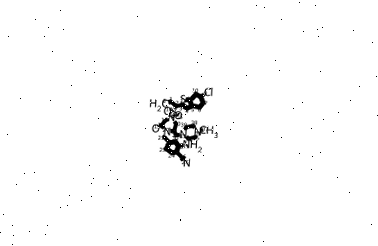 C=CC(c1cc2ccc(Cl)cc2s1)S(=O)(=O)N1CC(=O)N(Cc2ccc(C#N)c(N)c2)C(CN2CCN(C)CC2)C1